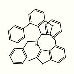 CC1=C([SiH](Cc2ccccc2)C2=C(C)[CH]c3cccc(-c4ccccc4)c32)c2c(cccc2-c2ccccc2)[CH]1